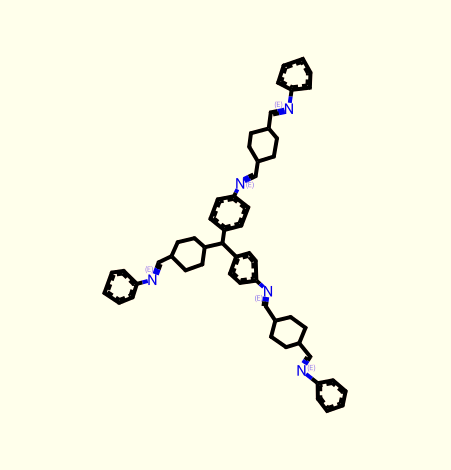 C(=N\c1ccccc1)/C1CCC(/C=N/c2ccc(C(c3ccc(/N=C/C4CCC(/C=N/c5ccccc5)CC4)cc3)C3CCC(/C=N/c4ccccc4)CC3)cc2)CC1